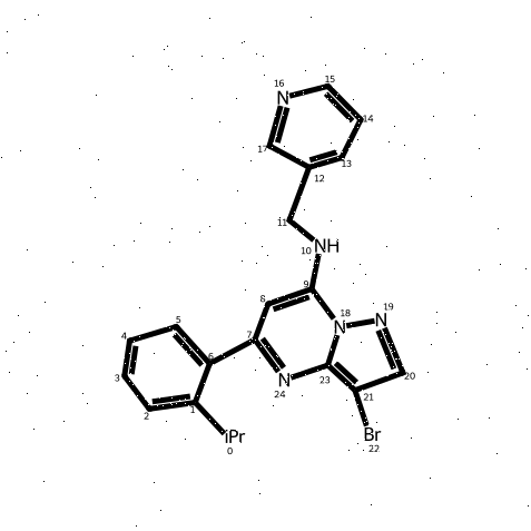 CC(C)c1ccccc1-c1cc(NCc2cccnc2)n2ncc(Br)c2n1